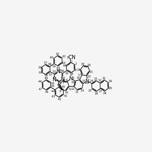 N#Cc1ccc(-n2c3ccccc3c3ccc4c(c5ccccc5n4-c4ccc5ccccc5c4)c32)c(-c2nc(-c3ccccc3-c3ccccc3)nc(-c3ccccc3-c3ccccc3)n2)c1